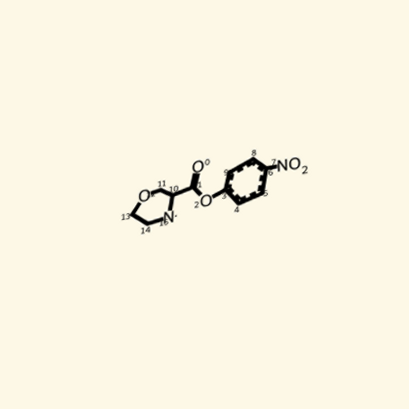 O=C(Oc1ccc([N+](=O)[O-])cc1)C1COCC[N]1